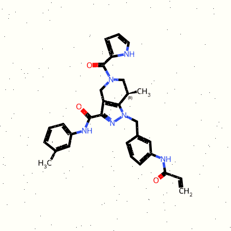 C=CC(=O)Nc1cccc(Cn2nc(C(=O)Nc3cccc(C)c3)c3c2[C@H](C)CN(C(=O)c2ccc[nH]2)C3)c1